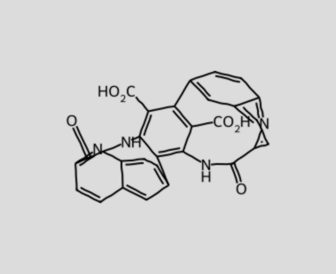 O=C1Nc2c(C(=O)O)c(c(C(=O)O)c3[nH]c(=O)c4ccc5cc(ccc5n4)c23)-c2ccc3nc1ccc3c2